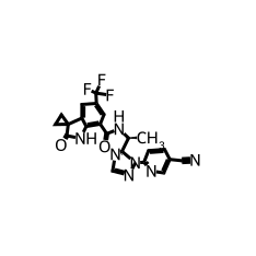 C[C@H](NC(=O)c1cc(C(F)(F)F)cc2c1NC(=O)C21CC1)c1ncnn1-c1ccc(C#N)cn1